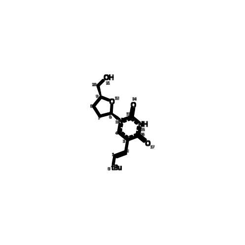 CC(C)(C)/C=C/c1cn([C@H]2CC[C@@H](CO)O2)c(=O)[nH]c1=O